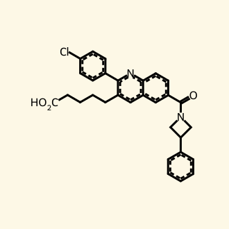 O=C(O)CCCCc1cc2cc(C(=O)N3CC(c4ccccc4)C3)ccc2nc1-c1ccc(Cl)cc1